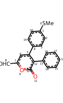 CSc1ccc(-c2cc(C=O)oc(=O)c2-c2ccccc2)cc1